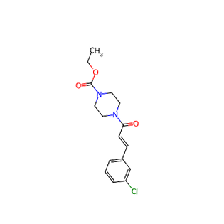 CCOC(=O)N1CCN(C(=O)/C=C/c2cccc(Cl)c2)CC1